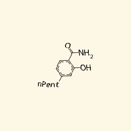 CCCCCc1ccc(C(N)=O)c(O)c1